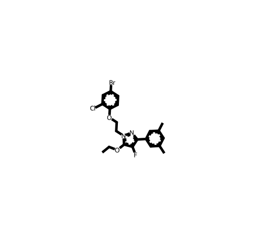 CCOc1c(F)c(-c2cc(C)cc(C)c2)nn1CCOc1ccc(Br)cc1Cl